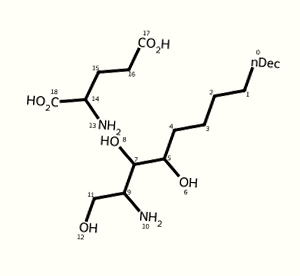 CCCCCCCCCCCCCCC(O)C(O)C(N)CO.NC(CCC(=O)O)C(=O)O